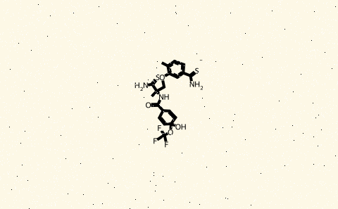 Cc1ccc(C(N)=S)cc1OCC(C)(NC(=O)C1C=CC(O)(OC(F)(F)F)C=C1)C(N)=S